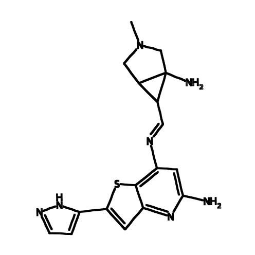 CN1CC2C(/C=N/c3cc(N)nc4cc(-c5ccn[nH]5)sc34)C2(N)C1